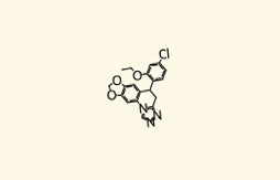 CCOc1cc(Cl)ccc1C1Cc2nncn2-c2cc3c(cc21)OCO3